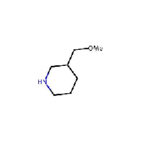 COC[C]1CCCNC1